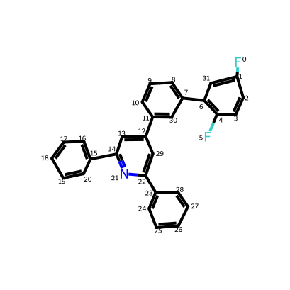 Fc1ccc(F)c(-c2cccc(-c3cc(-c4ccccc4)nc(-c4ccccc4)c3)c2)c1